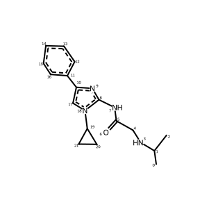 CC(C)NCC(=O)Nc1nc(-c2ccccc2)cn1C1CC1